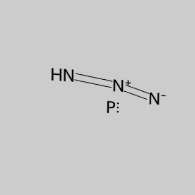 [N-]=[N+]=N.[P]